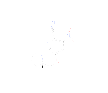 N#Cc1nc2c(cc1[N+](=O)[O-])OC[C@@H]1CCCN21